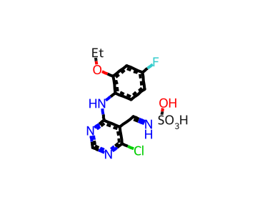 CCOc1cc(F)ccc1Nc1ncnc(Cl)c1C=N.O=S(=O)(O)O